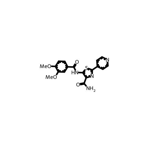 COc1ccc(C(=O)Nc2sc(-c3ccncc3)nc2C(N)=O)cc1OC